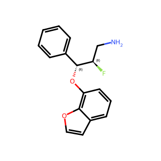 NC[C@@H](F)[C@H](Oc1cccc2ccoc12)c1ccccc1